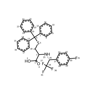 O=C(O)C(CSC(c1ccccc1)(c1ccccc1)c1ccccc1)N[C@H](c1ccc(F)cc1)C(F)(F)F